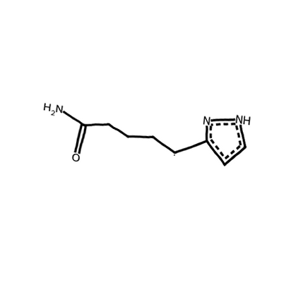 NC(=O)CCC[CH]c1cc[nH]n1